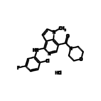 Cl.Cn1ccc2c(Nc3cc(F)ccc3Cl)ncc(C(=O)N3CCOCC3)c21